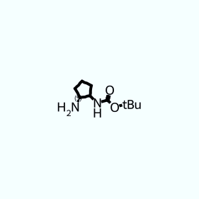 CC(C)(C)OC(=O)NC1CCC[C@@H]1N